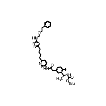 CC(NC(=O)OC(C)(C)C)c1cc(CC(=O)Nc2ccc(CCCCc3nnc(NCOCCc4ccccc4)s3)nn2)ccc1F